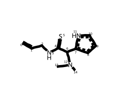 C=CCNC(=S)C(c1ccc[nH]1)N(C)C